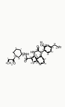 C=CC(=O)N1CCC[C@@H](NC(=O)c2sc3nccc4c3c2NC(=O)N4c2ccc(CC(C)C)nc2C)C1